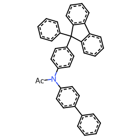 CC(=O)N(c1ccc(-c2ccccc2)cc1)c1ccc(C2(c3ccccc3)c3ccccc3-c3ccccc32)cc1